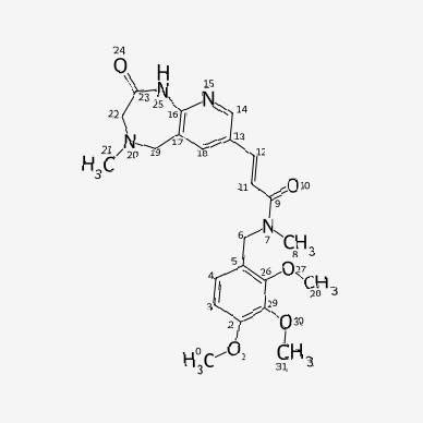 COc1ccc(CN(C)C(=O)C=Cc2cnc3c(c2)CN(C)CC(=O)N3)c(OC)c1OC